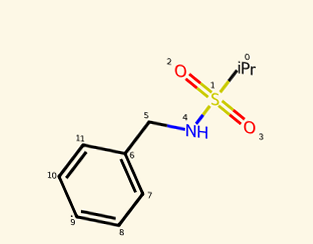 CC(C)S(=O)(=O)NCc1cc[c]cc1